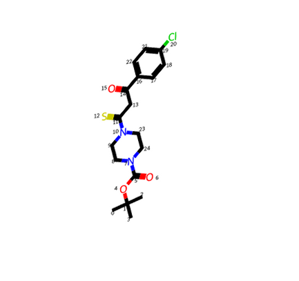 CC(C)(C)OC(=O)N1CCN(C(=S)CC(=O)c2ccc(Cl)cc2)CC1